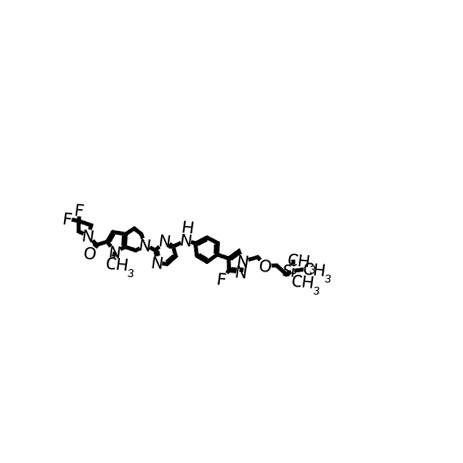 Cn1c(C(=O)N2CC(F)(F)C2)cc2c1CN(c1nccc(Nc3ccc(-c4cn(COCC[Si](C)(C)C)nc4F)cc3)n1)CC2